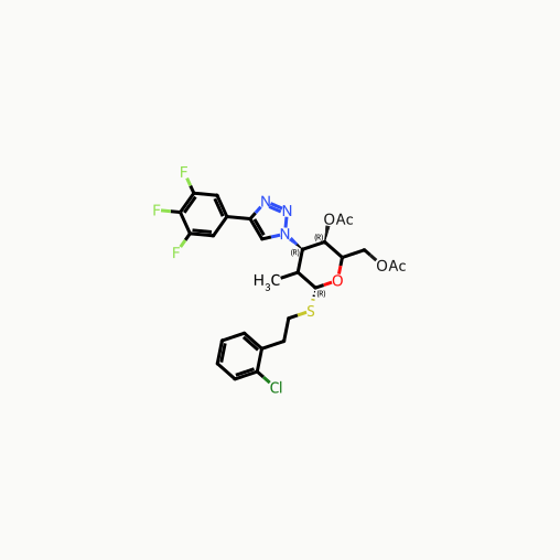 CC(=O)OCC1O[C@H](SCCc2ccccc2Cl)C(C)[C@@H](n2cc(-c3cc(F)c(F)c(F)c3)nn2)[C@H]1OC(C)=O